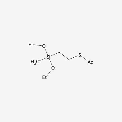 CCO[Si](C)(CCSC(C)=O)OCC